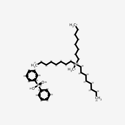 CCCCCCCC[N+](C)(CCCCCCCC)CCCCCCCC.O=P([O-])(c1ccccc1)c1ccccc1